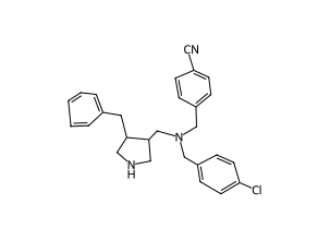 N#Cc1ccc(CN(Cc2ccc(Cl)cc2)CC2CNCC2Cc2ccccc2)cc1